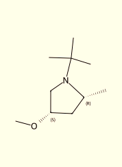 CO[C@H]1C[C@@H](C)N(C(C)(C)C)C1